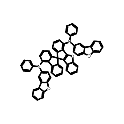 c1ccc(N(c2ccc3oc4ccccc4c3c2)c2cccc3c2-c2ccccc2C32c3cccc(N(c4ccccc4)c4ccc5oc6ccccc6c5c4)c3-c3oc4ccccc4c32)cc1